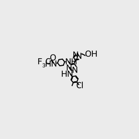 Cc1cc(Nc2ncc(-c3cnn(CCO)c3)c(NC3CCC(NC(=O)C(F)(F)F)CC3)n2)ccc1Cl